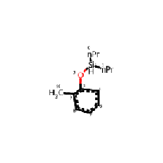 CCC[SiH](CCC)Oc1ccccc1C